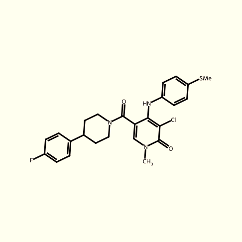 CSc1ccc(Nc2c(C(=O)N3CCC(c4ccc(F)cc4)CC3)cn(C)c(=O)c2Cl)cc1